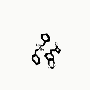 O=C1C=CC1=Cc1ccc2c(c1)OCO2.c1ccc(CNNCc2ccccc2)cc1